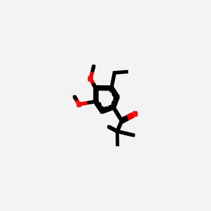 CCc1cc(C(=O)C(C)(C)C)cc(OC)c1OC